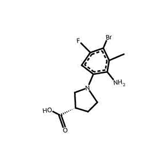 Cc1c(N)c(N2CC[C@H](C(=O)O)C2)cc(F)c1Br